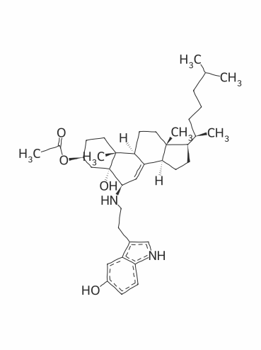 CC(=O)O[C@H]1CC[C@]2(C)[C@H]3CC[C@]4(C)[C@@H]([C@H](C)CCCC(C)C)CC[C@H]4C3=C[C@@H](NCCc3c[nH]c4ccc(O)cc34)[C@@]2(O)C1